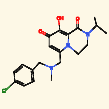 CC(C)N1CCn2c(CN(C)Cc3ccc(Cl)cc3)cc(=O)c(O)c2C1=O